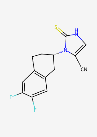 N#Cc1c[nH]c(=S)n1[C@H]1CCc2cc(F)c(F)cc2C1